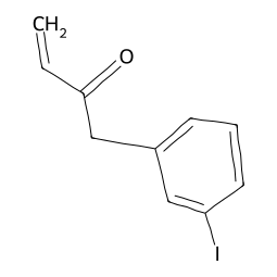 C=CC(=O)Cc1cccc(I)c1